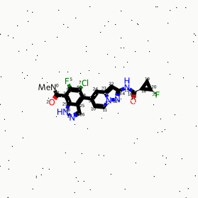 CNC(=O)c1c(F)c(Cl)c(-c2ccn3nc(NC(=O)[C@@H]4C[C@@H]4F)cc3c2)c2cn[nH]c12